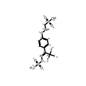 CS(=O)(=O)O/N=C(/c1ccc(ONCS(=O)(=O)O)cc1)C(F)(F)F